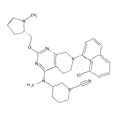 CN(c1nc(OC[C@@H]2CCCN2C)nc2c1CCN(c1cccc3cccc(Cl)c13)C2)C1CCCN(C#N)C1